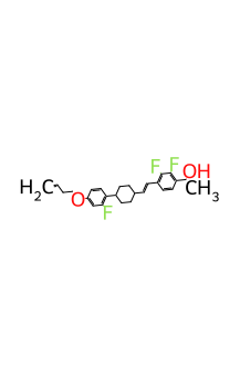 C=CCCOc1ccc(C2CCC(/C=C/c3ccc(C(C)O)c(F)c3F)CC2)c(F)c1